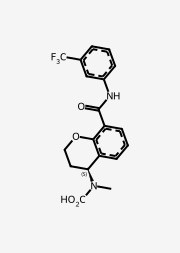 CN(C(=O)O)[C@H]1CCOc2c(C(=O)Nc3cccc(C(F)(F)F)c3)cccc21